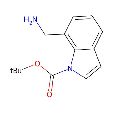 CC(C)(C)OC(=O)n1ccc2cccc(CN)c21